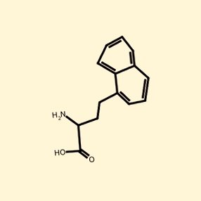 NC(CCc1cccc2ccccc12)C(=O)O